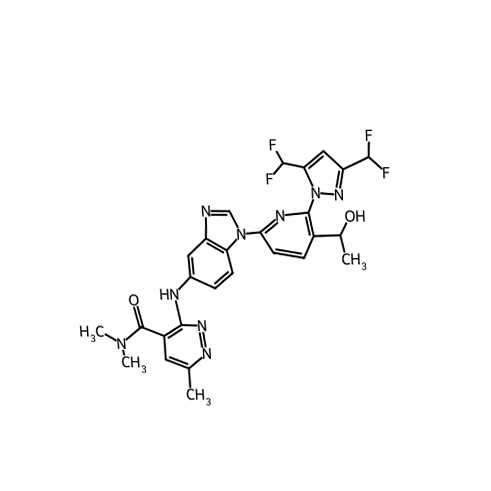 Cc1cc(C(=O)N(C)C)c(Nc2ccc3c(c2)ncn3-c2ccc(C(C)O)c(-n3nc(C(F)F)cc3C(F)F)n2)nn1